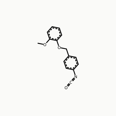 COc1ccccc1OCc1ccc(N=C=O)cc1